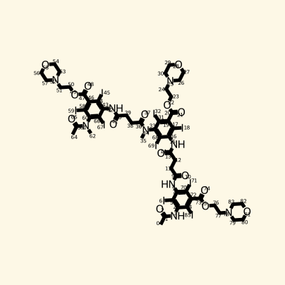 CC(=O)Nc1c(I)c(NC(=O)CCC(=O)Nc2c(I)c(C(=O)OCCN3CCOCC3)c(I)c(N(C)C(=O)CCC(=O)Nc3c(I)c(C(=O)OCCN4CCOCC4)c(I)c(N(C)C(C)=O)c3I)c2I)c(I)c(C(=O)OCCN2CCOCC2)c1I